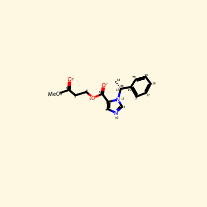 COC(=O)CCOC(=O)c1cncn1[C@H](C)c1ccccc1